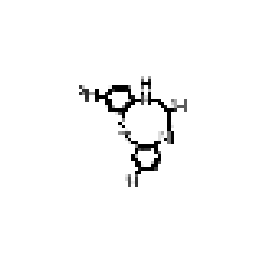 [3H]c1ccc2c(c1)SSc1cc([3H])ccc1NCC([3H])CN2